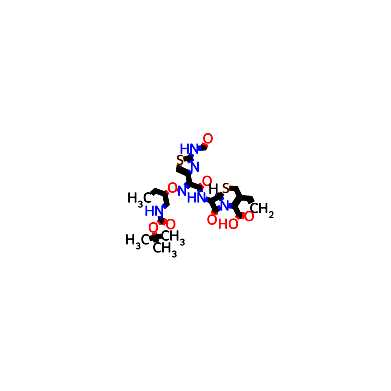 C=CC1=C(C(=O)O)N2C(=O)C(NC(=O)C(=NOC(CC)CNC(=O)OC(C)(C)C)c3csc(NC=O)n3)[C@@H]2SC1